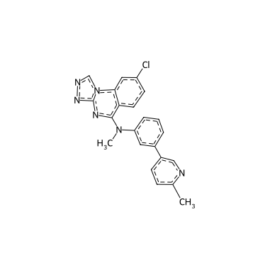 Cc1ccc(-c2cccc(N(C)c3nc4nncn4c4cc(Cl)ccc34)c2)cn1